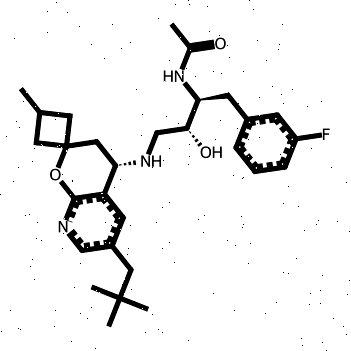 CC(=O)N[C@@H](Cc1cccc(F)c1)[C@H](O)CN[C@H]1CC2(CC(C)C2)Oc2ncc(CC(C)(C)C)cc21